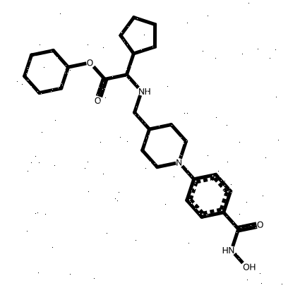 O=C(NO)c1ccc(N2CCC(CNC(C(=O)OC3CCCCC3)C3CCCC3)CC2)cc1